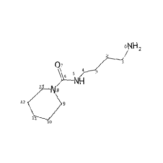 NCCCCNC(=O)N1CCCCC1